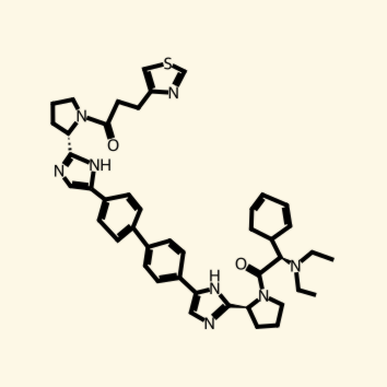 CCN(CC)[C@@H](C(=O)N1CCC[C@H]1c1ncc(-c2ccc(-c3ccc(-c4cnc([C@@H]5CCCN5C(=O)CCc5cscn5)[nH]4)cc3)cc2)[nH]1)C1C=CC=CC1